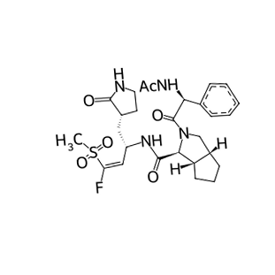 CC(=O)N[C@H](C(=O)N1C[C@@H]2CCC[C@@H]2[C@H]1C(=O)N[C@H](/C=C(/F)S(C)(=O)=O)C[C@H]1CCNC1=O)c1ccccc1